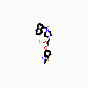 Cc1nc2cc(OC[C@H](O)CN3C[CH]N([C@H](C)c4cccc5ccccc45)CC3)ccc2s1